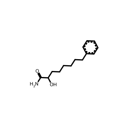 NC(=O)C(O)CCCCCCc1ccccc1